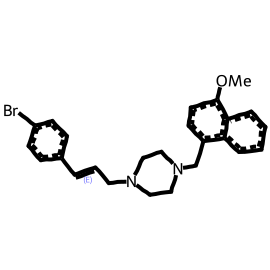 COc1ccc(CN2CCN(C/C=C/c3ccc(Br)cc3)CC2)c2ccccc12